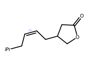 CC(C)C/C=C\CC1COC(=O)C1